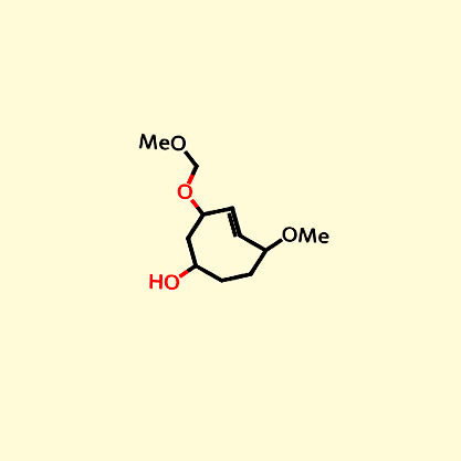 COCOC1/C=C/C(OC)CCC(O)C1